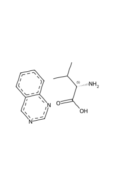 CC(C)[C@H](N)C(=O)O.c1ccc2ncncc2c1